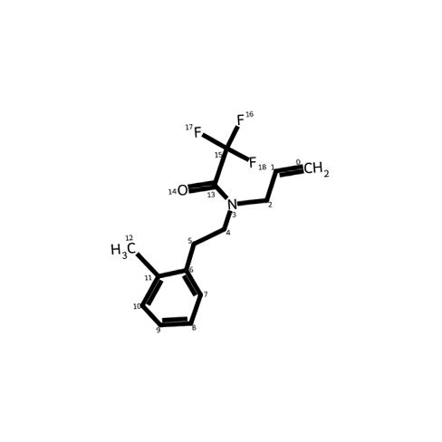 C=CCN(CCc1ccccc1C)C(=O)C(F)(F)F